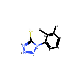 Cc1cccc(-n2nnnc2S)c1C